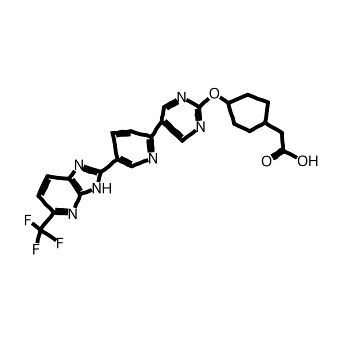 O=C(O)CC1CCC(Oc2ncc(-c3ccc(-c4nc5ccc(C(F)(F)F)nc5[nH]4)cn3)cn2)CC1